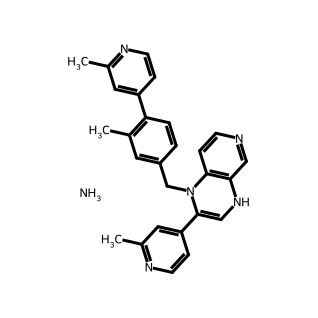 Cc1cc(C2=CNc3cnccc3N2Cc2ccc(-c3ccnc(C)c3)c(C)c2)ccn1.N